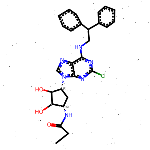 CCC(=O)N[C@H]1C[C@@H](n2cnc3c(NCC(c4ccccc4)c4ccccc4)nc(Cl)nc32)C(O)C1O